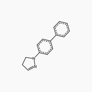 C1=NN(c2ccc(-c3ccccc3)cc2)CC1